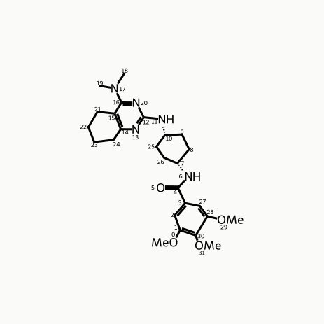 COc1cc(C(=O)N[C@H]2CC[C@@H](Nc3nc4c(c(N(C)C)n3)CCCC4)CC2)cc(OC)c1OC